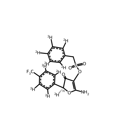 [2H]c1c([2H])c([2H])c(CS(=O)(=O)OC2=C(N)O[C@@]([2H])(c3c([2H])c([2H])c(C(F)(F)F)c([2H])c3[2H])C2=O)c([2H])c1[2H]